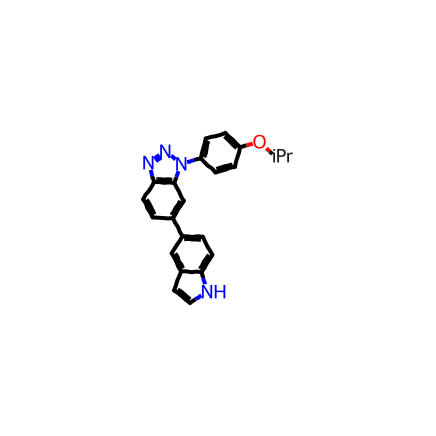 CC(C)Oc1ccc(-n2nnc3ccc(-c4ccc5[nH]ccc5c4)cc32)cc1